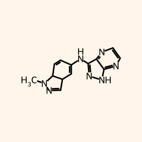 CN1N=CC2C=C(Nc3n[nH]c4nccnc34)C=CC21